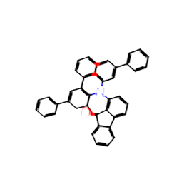 CC1CC(c2ccccc2)=CC(c2ccccc2)=C1N(c1cccc(-c2ccccc2)c1)c1cccc2c1C(=O)c1ccccc1-2